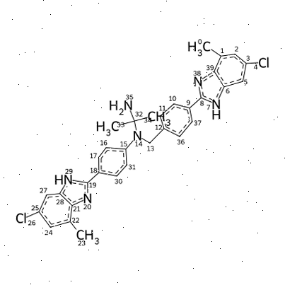 Cc1cc(Cl)cc2[nH]c(-c3ccc(CN(c4ccc(-c5nc6c(C)cc(Cl)cc6[nH]5)cc4)C(C)(C)N)cc3)nc12